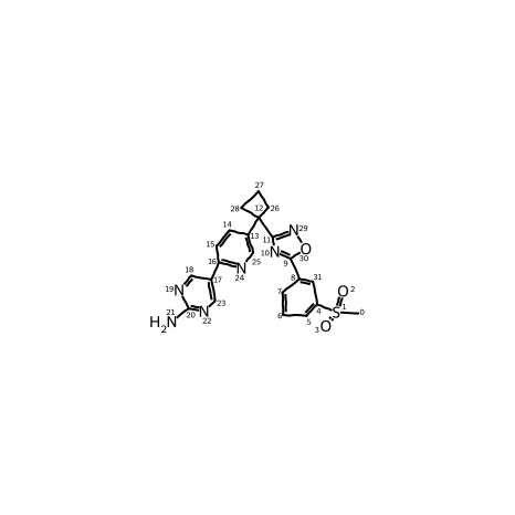 CS(=O)(=O)c1cccc(-c2nc(C3(c4ccc(-c5cnc(N)nc5)nc4)CCC3)no2)c1